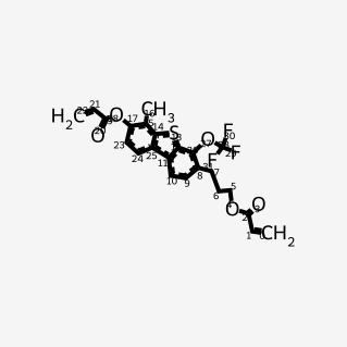 C=CC(=O)OCCCc1ccc2c(sc3c(C)c(OC(=O)C=C)ccc32)c1OC(F)(F)F